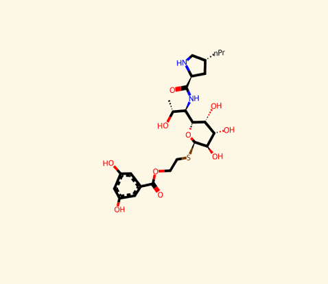 CCC[C@H]1CN[C@H](C(=O)N[C@@H]([C@H]2O[C@H](SCCOC(=O)c3cc(O)cc(O)c3)[C@H](O)[C@@H](O)[C@H]2O)[C@@H](C)O)C1